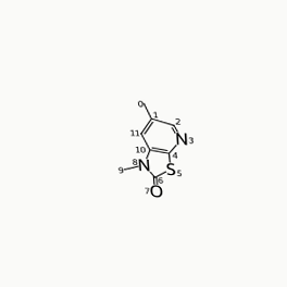 Cc1cnc2sc(=O)n(C)c2c1